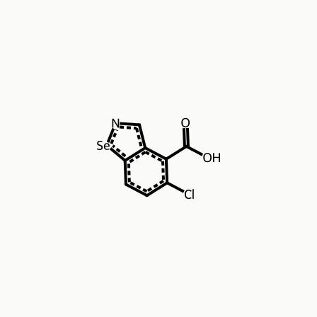 O=C(O)c1c(Cl)ccc2[se]ncc12